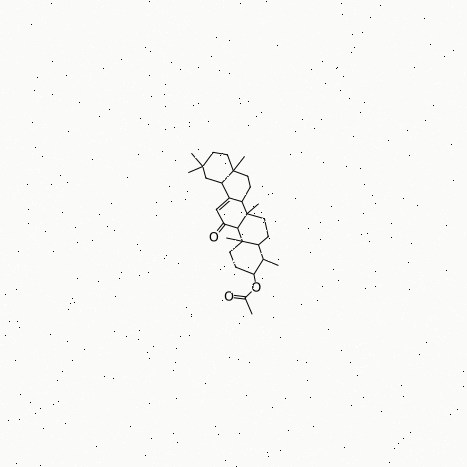 CC(=O)OC1CCC2(C)C(CCC3(C)C4CCC5(C)CCC(C)(C)CC5C4=CC(=O)C32)C1C